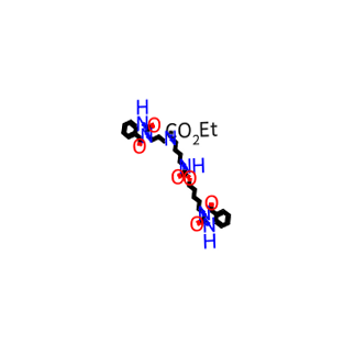 CCOC(=O)N(CCCCNC(=O)OCCCCCn1c(=O)[nH]c2ccccc2c1=O)CCCn1c(=O)[nH]c2ccccc2c1=O